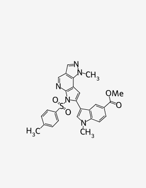 COC(=O)c1ccc2c(c1)c(-c1cc3c4c(cnc3n1S(=O)(=O)c1ccc(C)cc1)cnn4C)cn2C